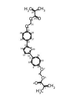 C=C(C)C(=O)OCOc1ccc(-c2ccc(-c3ccc(OCOC(=O)C(=C)C)cc3)s2)cc1